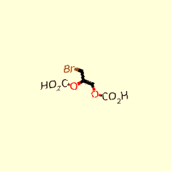 O=C(O)OCC(CBr)OC(=O)O